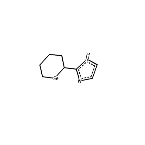 c1c[nH]c(C2CCCC[Se]2)n1